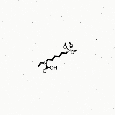 CCN(CCCCCC[Si](OC)(OC)OC)C(=O)O